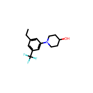 CCc1cc(N2CCC(O)CC2)cc(C(F)(F)F)c1